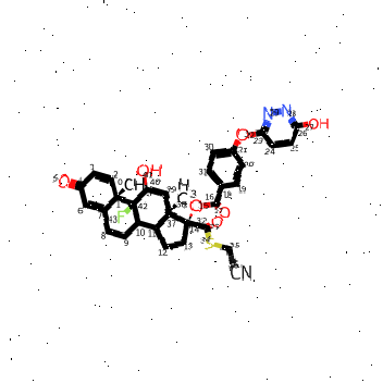 C[C@]12C=CC(=O)C=C1CCC1C3CC[C@](OC(=O)c4ccc(Oc5ccc(O)nn5)cc4)(C(=O)SCC#N)[C@@]3(C)C[C@H](O)C12F